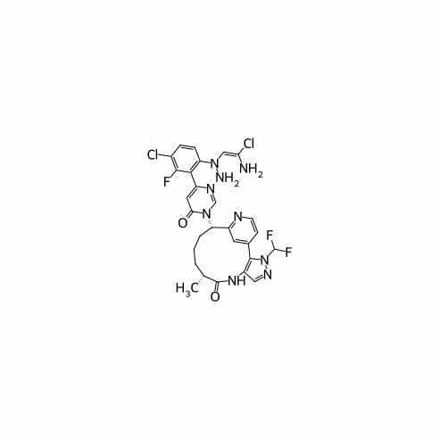 C[C@@H]1CCC[C@H](n2cnc(-c3c(N(N)/C=C(\N)Cl)ccc(Cl)c3F)cc2=O)c2cc(ccn2)-c2c(cnn2C(F)F)NC1=O